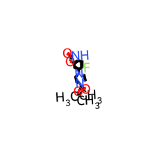 CC(C)(C)OC(=O)N1CCN(c2cc3oc(=O)[nH]c3cc2F)CC1